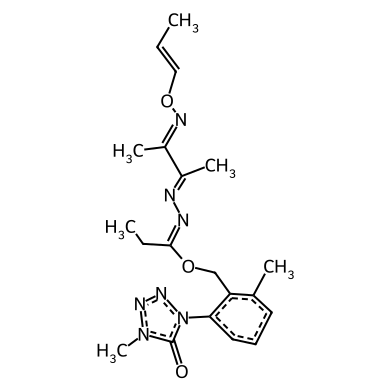 C/C=C/O/N=C(C)/C(C)=N/N=C(\CC)OCc1c(C)cccc1-n1nnn(C)c1=O